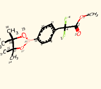 COC(=O)C(F)(F)c1ccc(B2OC(C)(C)C(C)(C)O2)cc1